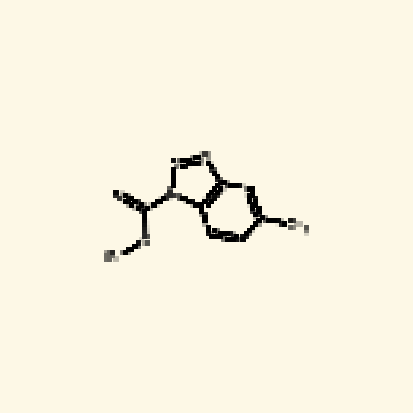 Cc1ccc2c(c1)nnn2C(=O)OC(C)(C)C